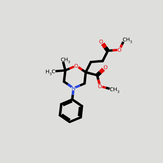 COC(=O)CCC1(C(=O)OC)CN(c2ccccc2)CC(C)(C)O1